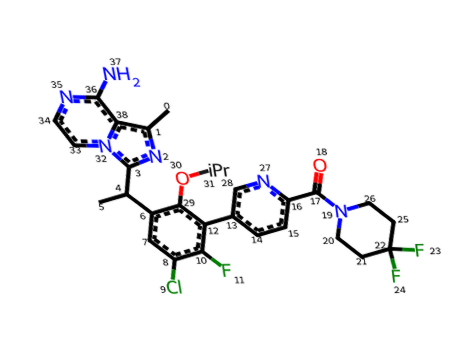 Cc1nc(C(C)c2cc(Cl)c(F)c(-c3ccc(C(=O)N4CCC(F)(F)CC4)nc3)c2OC(C)C)n2ccnc(N)c12